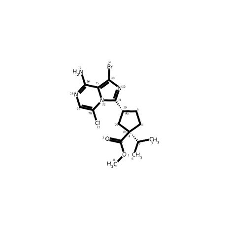 COC(=O)[C@]1(C(C)C)CC[C@@H](c2nc(Br)c3c(N)ncc(Cl)n23)C1